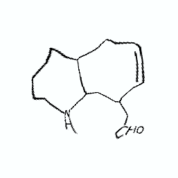 O=CC1C=CCC2CCCNC12